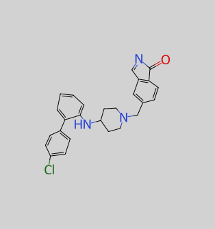 O=C1N=Cc2cc(CN3CCC(Nc4ccccc4-c4ccc(Cl)cc4)CC3)ccc21